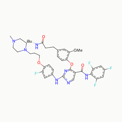 CC[C@@H](C)NC(=O)CCc1ccc(Oc2nc(Nc3ccc(OCCCN4CCN(C)CC4)c(F)c3)ncc2C(=O)Nc2c(F)cc(F)cc2F)c(OC)c1